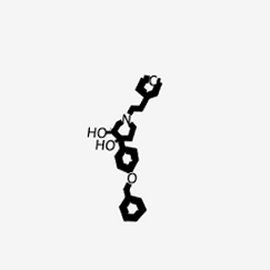 O[C@H]1CN(CCc2ccccc2)CC[C@]1(O)c1ccc(OCc2ccccc2)cc1